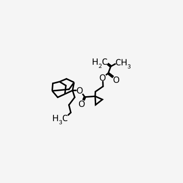 C=C(C)C(=O)OCCC1(C(=O)OC2(CCCC)C3CC4CC(C3)CC2C4)CC1